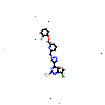 Nc1nc(-c2cn(Cc3cccc(COc4ccccc4F)n3)nn2)c2scc(Br)c2n1